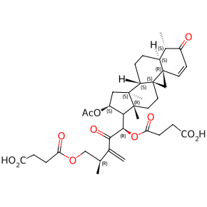 C=C(C(=O)[C@H](OC(=O)CCC(=O)O)C1[C@@H](OC(C)=O)C[C@@]2(C)[C@@H]3CC[C@H]4[C@H](C)C(=O)C=C[C@@]45C[C@@]35CC[C@]12C)[C@@H](C)COC(=O)CCC(=O)O